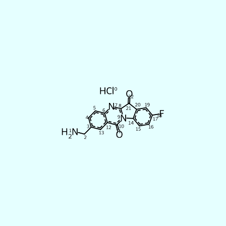 Cl.NCc1ccc2nc3n(c(=O)c2c1)-c1ccc(F)cc1C3=O